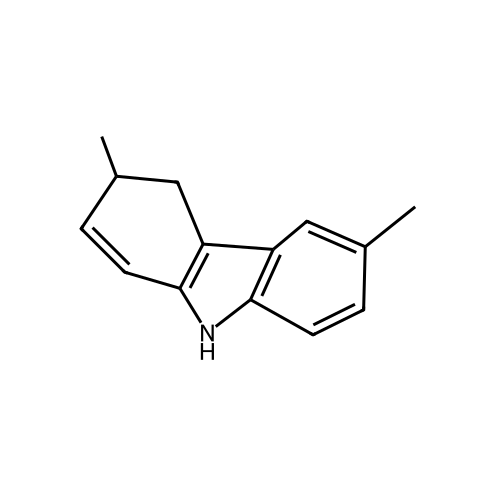 Cc1ccc2[nH]c3c(c2c1)CC(C)C=C3